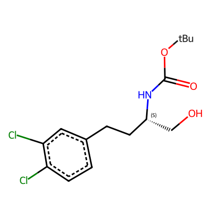 CC(C)(C)OC(=O)N[C@H](CO)CCc1ccc(Cl)c(Cl)c1